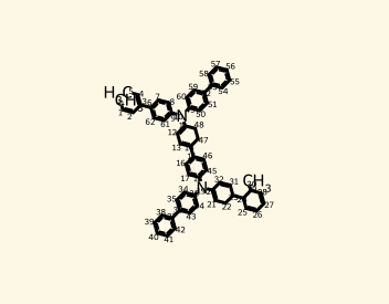 C/C=C\C(=C/C)c1ccc(N(C2=CC=C(c3ccc(N(C4=CCC(C5C=CC=CC5C)C=C4)c4ccc(-c5ccccc5)cc4)cc3)CC2)c2ccc(-c3ccccc3)cc2)cc1